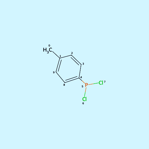 Cc1ccc(P(Cl)Cl)cc1